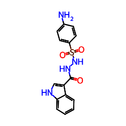 Nc1ccc(S(=O)(=O)NNC(=O)c2c[nH]c3ccccc23)cc1